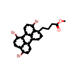 COC(=O)CCCc1ccc2c3ccc(Br)c4ccc(Br)c(c5ccc(Br)c1c25)c43